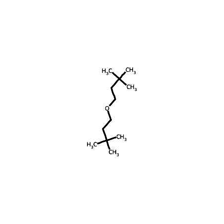 CC(C)(C)CCOCCC(C)(C)C